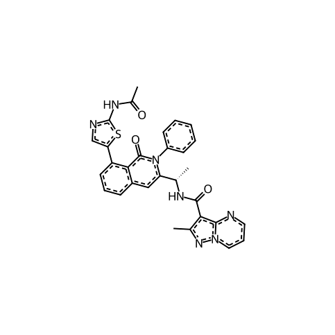 CC(=O)Nc1ncc(-c2cccc3cc([C@H](C)NC(=O)c4c(C)nn5cccnc45)n(-c4ccccc4)c(=O)c23)s1